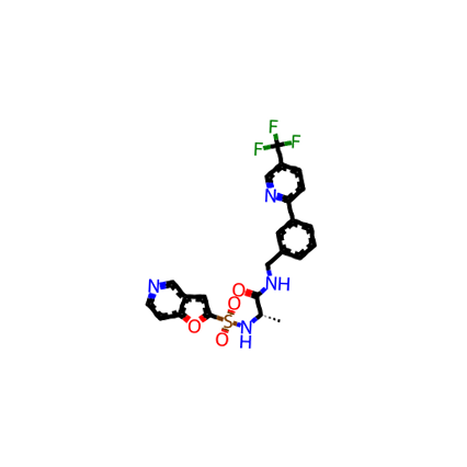 C[C@H](NS(=O)(=O)c1cc2cnccc2o1)C(=O)NCc1cccc(-c2ccc(C(F)(F)F)cn2)c1